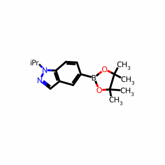 CC(C)n1ncc2cc(B3OC(C)(C)C(C)(C)O3)ccc21